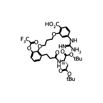 CC(C)(C)OC(=O)C[C@H](NC(=O)CCc1cccc(OC(=O)C(F)(F)F)c1OCCCOc1cc(NC(=N)N)ccc1C(=O)O)C(=O)OC(C)(C)C